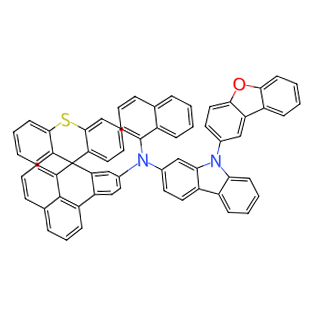 c1ccc2c(c1)Sc1ccccc1C21c2cc(N(c3ccc4c5ccccc5n(-c5ccc6oc7ccccc7c6c5)c4c3)c3cccc4ccccc34)ccc2-c2cccc3cccc1c23